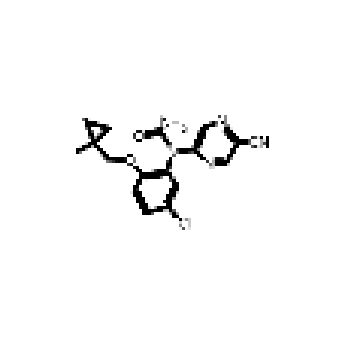 CC1(COc2ccc(Cl)cc2N(C(N)=O)c2cnc(C#N)cn2)CC1